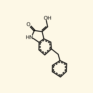 O=C1Nc2ccc(Cc3ccccc3)cc2C1=CO